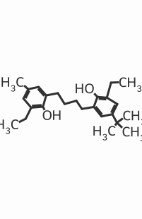 CCc1cc(C)cc(CCCCc2cc(C(C)(C)C)cc(CC)c2O)c1O